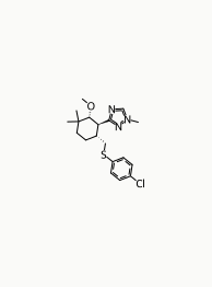 CO[C@@H]1[C@@H](c2ncn(C)n2)[C@H](CSc2ccc(Cl)cc2)CCC1(C)C